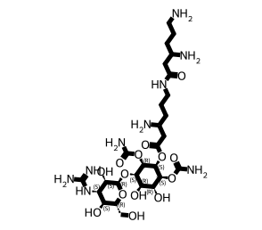 N=C(N)N[C@@H]1[C@H](O)[C@@H](O[C@H]2[C@H](O)[C@@H](O)[C@H](OC(N)=O)[C@H](OC(=O)CC(N)CCCNC(=O)CC(N)CCCN)[C@@H]2OC(N)=O)O[C@H](CO)[C@H]1O